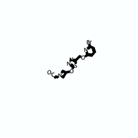 O=C=CN1CC(Oc2nnc(COc3cccc(Br)n3)s2)C1